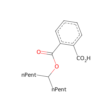 CCCCCC(CCCCC)OC(=O)c1ccccc1C(=O)O